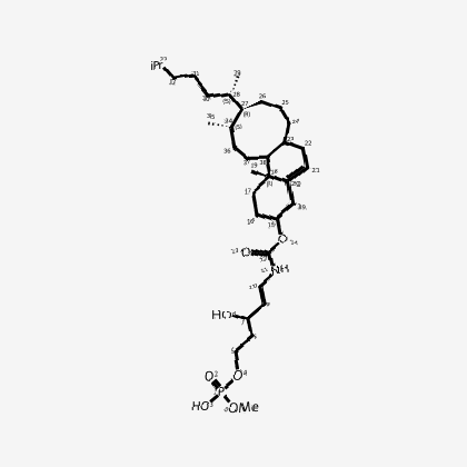 COP(=O)(O)OCCC(O)CCNC(=O)OC1CC[C@@]2(C)C(=CCC3CCC[C@H]([C@@H](C)CCCC(C)C)[C@@H](C)CCC32)C1